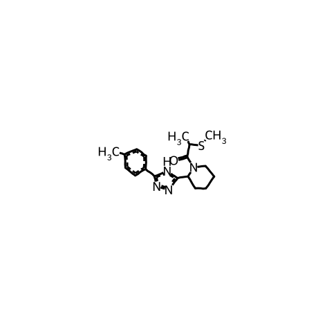 CSC(C)C(=O)N1CCCCC1c1nnc(-c2ccc(C)cc2)[nH]1